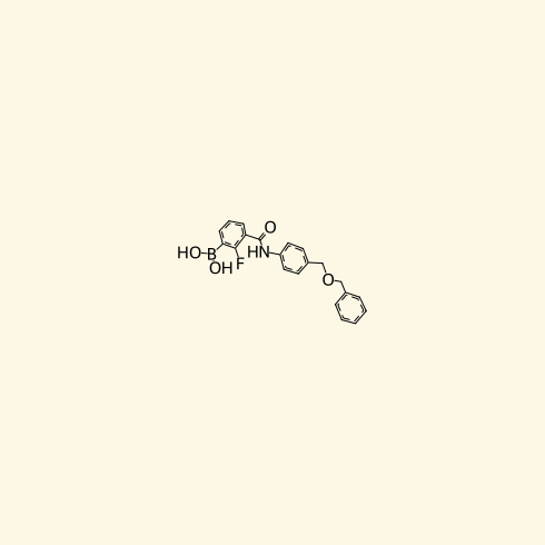 O=C(Nc1ccc(COCc2ccccc2)cc1)c1cccc(B(O)O)c1F